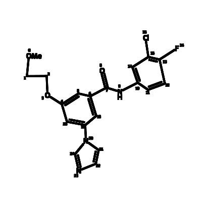 COCCOc1cc(C(=O)Nc2ccc(F)c(Cl)c2)cc(-n2ccnc2)c1